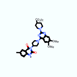 CCOC(=O)C1CCN(c2nc(N3CCC(n4c(=O)c5cc(C)ccc5n(C)c4=O)CC3)c3cc(OC)c(OC)cc3n2)CC1